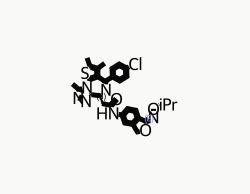 Cc1sc2c(c1C)C(c1ccc(Cl)cc1)=N[C@@H](CC(=O)Nc1ccc3c(c1)CO/C3=N/OC(C)C)c1nnc(C)n1-2